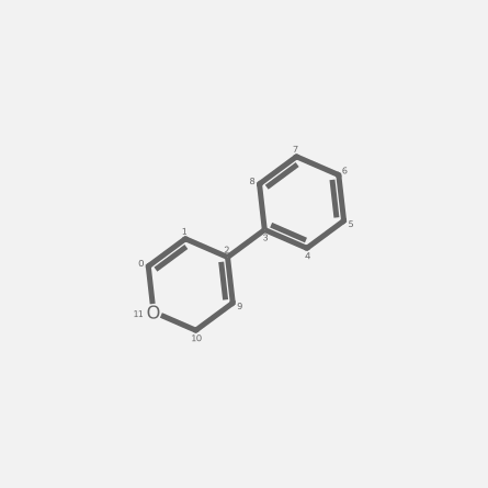 C1=CC(c2ccccc2)=CCO1